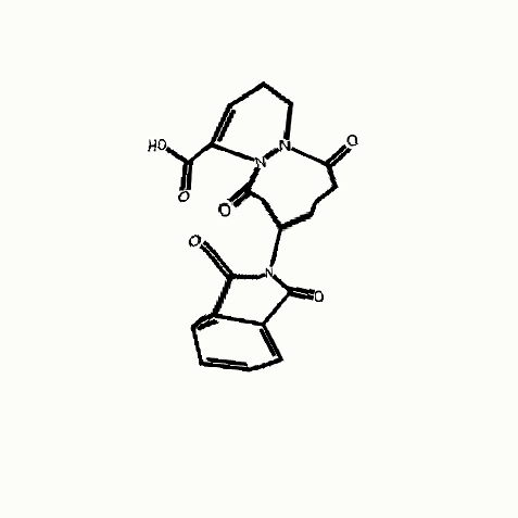 O=C(O)C1=CCCN2C(=O)CCC(N3C(=O)c4ccccc4C3=O)C(=O)N12